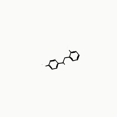 COc1ccc(C(C)Cc2ccccc2F)cc1